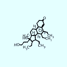 CCC1C2=CC(=O)CC[C@]2(C)[C@@H]2CC[C@@]3(C)[C@@H](C(CC)C(CC)C3(O)CCCO)[C@@H]2C1CC